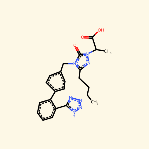 CCCCc1nn(C(C)C(=O)O)c(=O)n1Cc1ccc(-c2ccccc2-c2nnn[nH]2)cc1